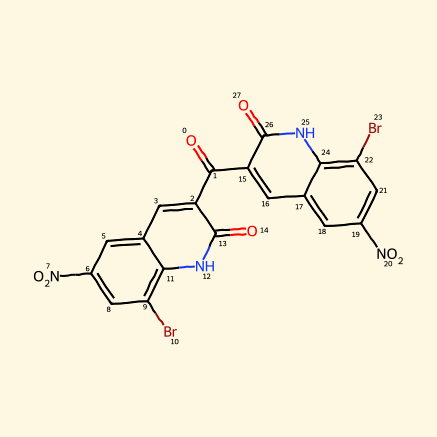 O=C(c1cc2cc([N+](=O)[O-])cc(Br)c2[nH]c1=O)c1cc2cc([N+](=O)[O-])cc(Br)c2[nH]c1=O